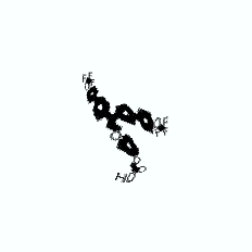 O=C(O)COc1ccc(OCC=C(c2ccc(-c3ccc(OC(F)(F)F)cc3)cc2)c2ccc(-c3ccc(OC(F)(F)F)cc3)cc2)cc1